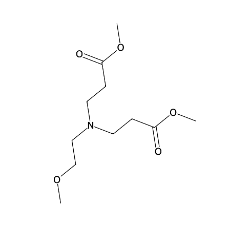 COCCN(CCC(=O)OC)CCC(=O)OC